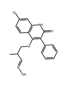 CC(C=NO)COc1c(-c2ccccc2)c(=O)[nH]c2cc(Cl)ccc12